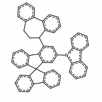 c1ccc2c(c1)CCC(c1cc(-n3c4ccccc4c4ccccc43)cc3c1-c1ccccc1C31c3ccccc3-c3ccccc31)c1ccccc1-2